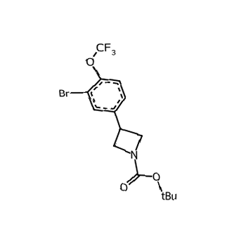 CC(C)(C)OC(=O)N1CC(c2ccc(OC(F)(F)F)c(Br)c2)C1